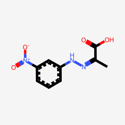 CC(=NNc1cccc([N+](=O)[O-])c1)C(=O)O